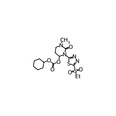 CCS(=O)(=O)c1nnc(N2C(=O)N(C)CCC2OC(=O)OC2CCCCC2)s1